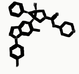 Cc1cc2c(cnn2-c2ccc(F)cc2)cc1[C@@]12CN(C(=O)OC3CCOCC3)C[C@@H]1[C@H]2c1ccccc1